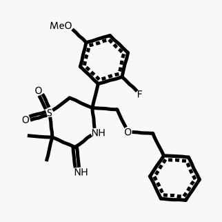 COc1ccc(F)c(C2(COCc3ccccc3)CS(=O)(=O)C(C)(C)C(=N)N2)c1